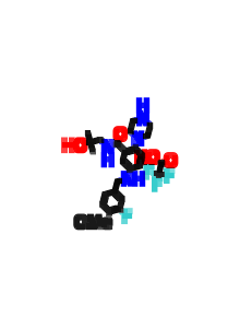 COc1ccc(CNc2ccc(N3CCNCC3)c(C(=O)NCC(C)(C)O)c2)cc1F.O=C(O)C(F)(F)F